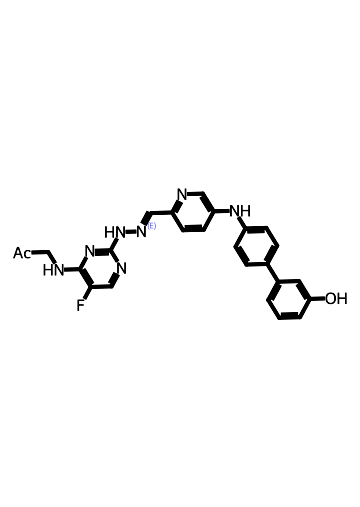 CC(=O)CNc1nc(N/N=C/c2ccc(Nc3ccc(-c4cccc(O)c4)cc3)cn2)ncc1F